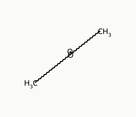 CCCCCCCCCCCCCCCCCCCCCCCCCCOC(=O)CCCCCCCCCCCCCCCCCCCCC